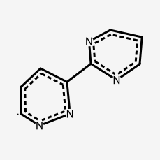 [c]1ccc(-c2ncccn2)nn1